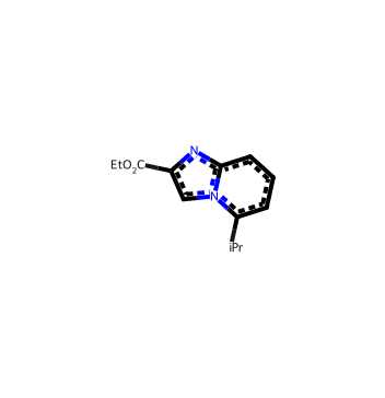 CCOC(=O)c1cn2c(C(C)C)cccc2n1